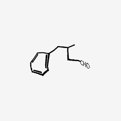 CC(C[C]=O)Cc1ccccc1